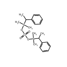 CC(c1ccccc1)[Si](C)(C)[O][Cr](=[O])(=[O])[O][Si](C)(C)C(C)c1ccccc1